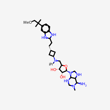 COCC(C)(C)c1ccc2c(c1)NC(CC[C@H]1C[C@H](N(CC3O[C@@H](N4CNC5C(N)N(C)CNC54)[C@H](O)[C@@H]3O)C(C)C)C1)N2